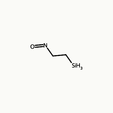 O=NCC[SiH3]